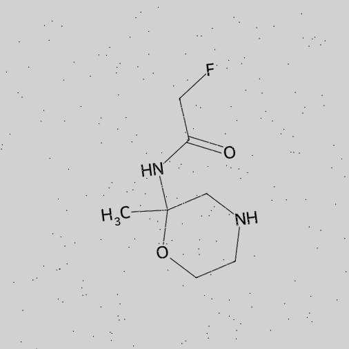 CC1(NC(=O)CF)CNCCO1